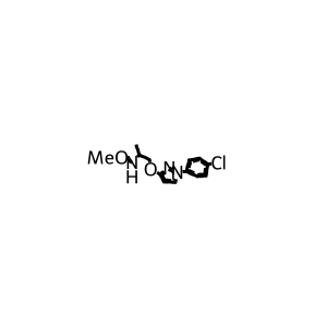 CONC(C)COc1ccn(-c2ccc(Cl)cc2)n1